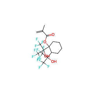 C=C(C)C(=O)OC1(C(O)(C(F)(F)F)C(F)(F)F)CCCCC1C(O)(C(F)(F)F)C(F)(F)F